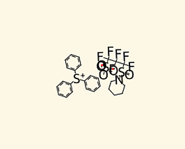 O=S(=O)([O-])C(F)(F)C(F)(F)C(F)(F)S(=O)(=O)N1CCCCC1.c1ccc([S+](c2ccccc2)c2ccccc2)cc1